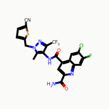 Cc1c(NC(=O)c2cc(C(N)=O)nc3cc(F)c(Cl)cc23)c(C(F)(F)F)nn1Cc1ccc(C#N)s1